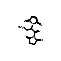 O=C(O)CC(C(=O)N1C(=O)CCC1=O)N1C(=O)C=CC1=O